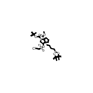 COC(=O)[C@]12CCC[C@@]1(CCCCB1OC(C)(C)C(C)(C)O1)C(OS(=O)(=O)CCl)CN2C(=O)OC(C)(C)C